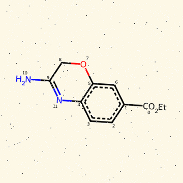 CCOC(=O)c1ccc2c(c1)OCC(N)=N2